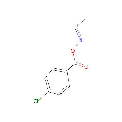 C/C=N/OC(=O)c1ccc(Cl)cc1